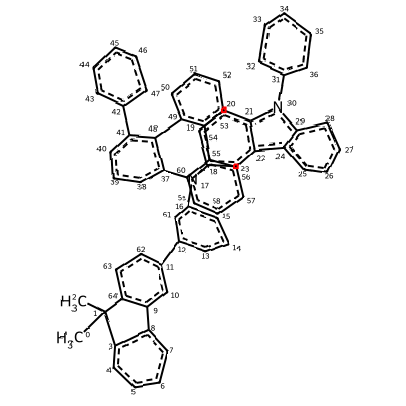 CC1(C)c2ccccc2-c2cc(-c3cccc(N(c4ccc5c(c4)c4ccccc4n5-c4ccccc4)c4cccc(-c5ccccc5)c4-c4ccccc4-c4ccccc4)c3)ccc21